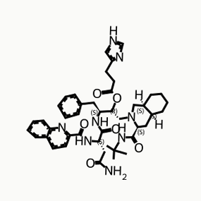 CC(C)(C)NC(=O)[C@@H]1C[C@@H]2CCCC[C@@H]2CN1C[C@@H](OC(=O)CCc1c[nH]cn1)[C@H](Cc1ccccc1)NC(=O)[C@H](CC(N)=O)NC(=O)c1ccc2ccccc2n1